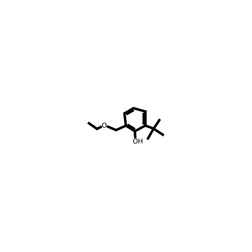 CCOCc1cccc(C(C)(C)C)c1O